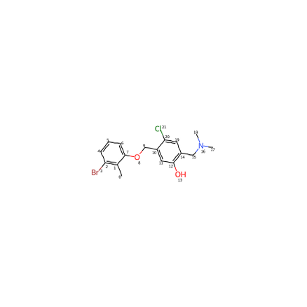 Cc1c(Br)cccc1OCc1cc(O)c(CN(C)C)cc1Cl